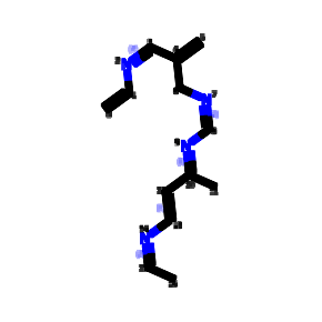 C=C/N=C\C(=C)C\N=C/N=C(C)/C=C/N=C\C